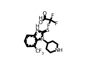 FC(F)(F)c1cccc2[nH]c(=S)n(C3CCNCC3)c12.O=C(O)C(F)(F)F